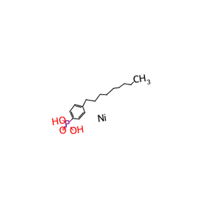 CCCCCCCCCc1ccc(P(=O)(O)O)cc1.[Ni]